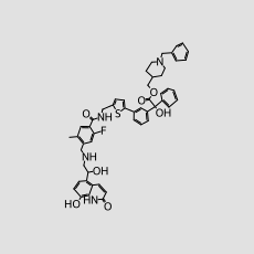 Cc1cc(C(=O)NCc2ccc(-c3cccc(C(O)(C(=O)OCC4CCN(Cc5ccccc5)CC4)c4ccccc4)c3)s2)c(F)cc1CNCC(O)c1ccc(O)c2[nH]c(=O)ccc12